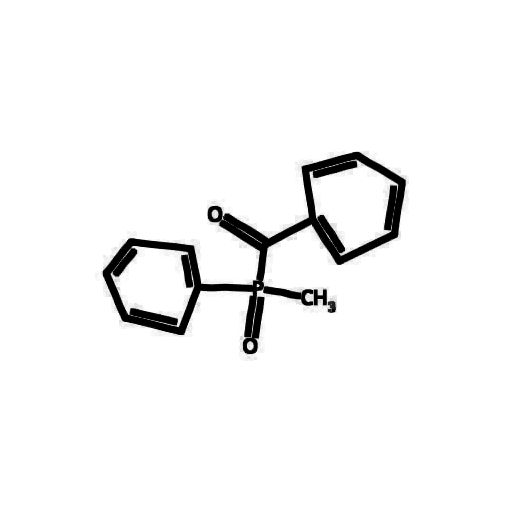 CP(=O)(C(=O)c1ccccc1)c1ccccc1